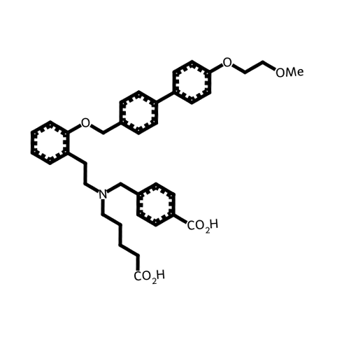 COCCOc1ccc(-c2ccc(COc3ccccc3CCN(CCCCC(=O)O)Cc3ccc(C(=O)O)cc3)cc2)cc1